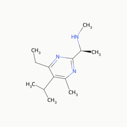 CCc1nc([C@H](C)NC)nc(C)c1C(C)C